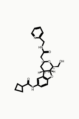 O=C(C[C@@H]1C[C@H]2c3cc(NC(=O)C4CCC4)ccc3O[C@H]2[C@H](CO)O1)NCc1ccccn1